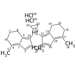 CC1=CC2=C(C)CCCC2=[C]1[Hf]1([C]2=C3CCCC(C)=C3C=C2C)[CH2][CH2]1.Cl.Cl